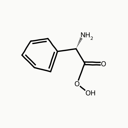 N[C@H](C(=O)OO)c1ccccc1